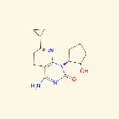 Nc1nc(=O)n([C@H]2CCCC2O)c2nc(C3CC3)ccc12